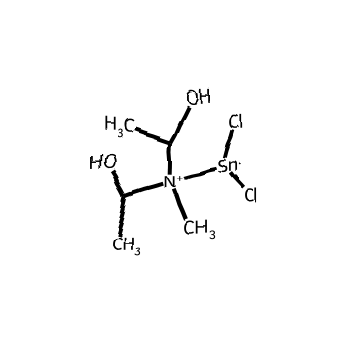 CC(O)[N+](C)(C(C)O)[Sn]([Cl])[Cl]